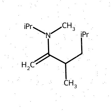 C=C(C(C)CC(C)C)N(C)C(C)C